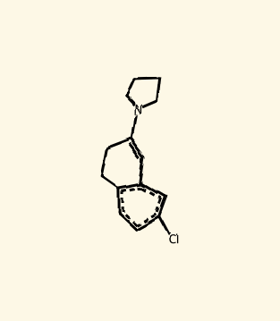 Clc1ccc2c(c1)C=C(N1CCCC1)CC2